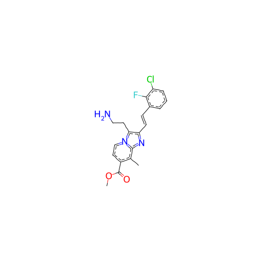 COC(=O)c1ccn2c(CCN)c(/C=C/c3cccc(Cl)c3F)nc2c1C